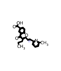 CCCc1c(/C=C/c2cccc(C)n2)oc2ccc(C(=O)O)cc2c1=O